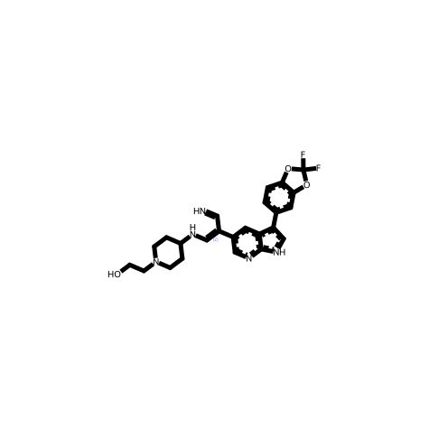 N=C/C(=C\NC1CCN(CCO)CC1)c1cnc2[nH]cc(-c3ccc4c(c3)OC(F)(F)O4)c2c1